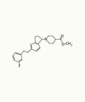 COC(=O)C1CCN(C2CCc3cc(CCc4cccc(F)c4)ccc32)CC1